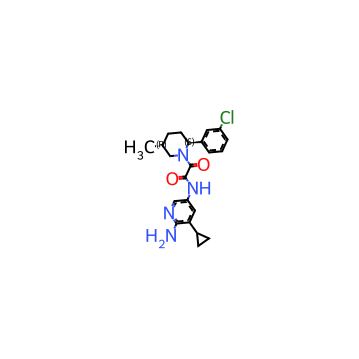 C[C@@H]1CC[C@@H](c2cccc(Cl)c2)N(C(=O)C(=O)Nc2cnc(N)c(C3CC3)c2)C1